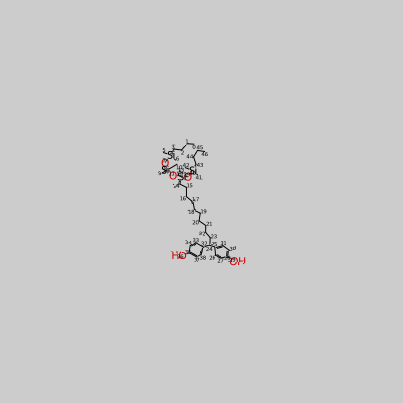 CCCC[Si](C)(C)O[Si](C)(C)O[Si](C)(CCCCCCCCCCC(c1ccc(O)cc1)c1ccc(O)cc1)O[Si](C)(C)CCCC